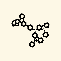 c1ccc(-n2c3ccccc3c3cc(N(c4ccc(-c5ccc6c(c5)-c5ccccc5C65C6CC7CC8CC5C8(C7)C6)cc4)c4ccc5c6ccccc6n(-c6ccccc6)c5c4)ccc32)cc1